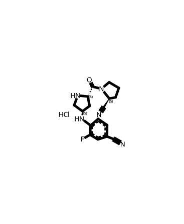 Cl.N#Cc1ccc(N[C@@H]2CN[C@H](C(=O)N3CCC[C@H]3C#N)C2)c(F)c1